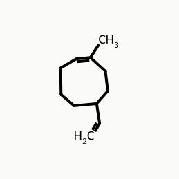 C=CC1CCCC=C(C)CC1